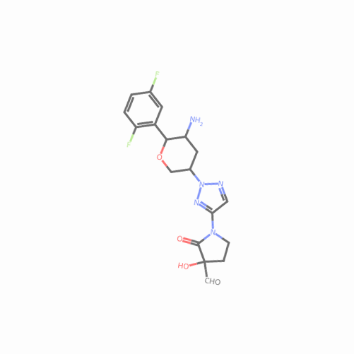 NC1CC(n2ncc(N3CCC(O)(C=O)C3=O)n2)COC1c1cc(F)ccc1F